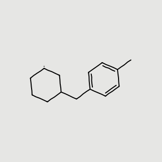 Cc1ccc(CC2C[CH]CCC2)cc1